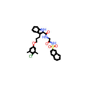 Cc1cc(OCCCc2c(C(=O)NCC(=O)NS(=O)(=O)c3ccc4ccccc4c3)[nH]c3ccccc23)cc(C)c1Cl